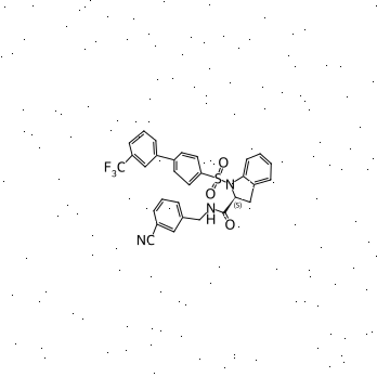 N#Cc1cccc(CNC(=O)[C@@H]2Cc3ccccc3N2S(=O)(=O)c2ccc(-c3cccc(C(F)(F)F)c3)cc2)c1